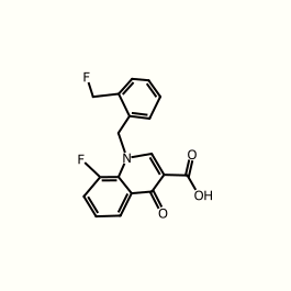 O=C(O)c1cn(Cc2ccccc2CF)c2c(F)cccc2c1=O